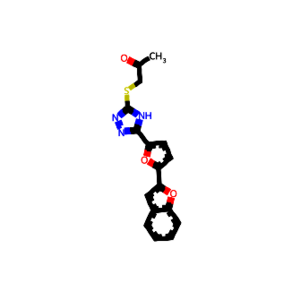 CC(=O)CSc1nnc(-c2ccc(-c3cc4ccccc4o3)o2)[nH]1